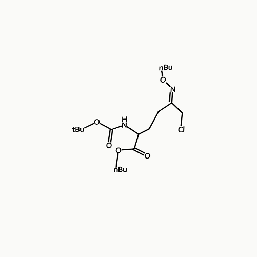 CCCCO/N=C(/CCl)CCC(NC(=O)OC(C)(C)C)C(=O)OCCCC